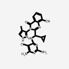 Cc1c[nH]nc1-n1c(C(Nc2nc(N)nc(N)c2Cl)C2CC2)nc2c(C#N)cccc2c1=O